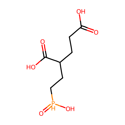 O=C(O)CCC(CC[PH](=O)O)C(=O)O